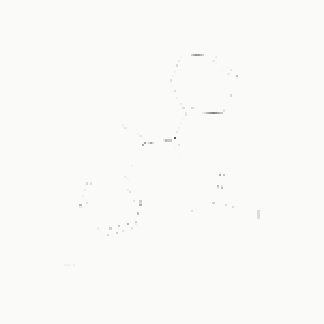 O=C(C(=O)c1ccc(O)cc1)c1ccccc1.O=[PH](O)O